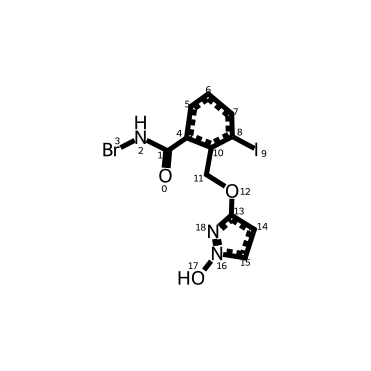 O=C(NBr)c1cccc(I)c1COc1ccn(O)n1